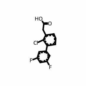 O=C(O)Cc1cccc(-c2cc(F)cc(F)c2)c1Cl